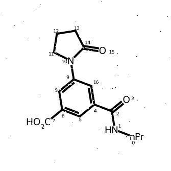 CCCNC(=O)c1cc(C(=O)O)cc(N2CCCC2=O)c1